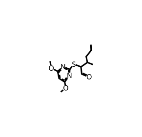 CCCC(C)C(C=O)Sc1nc(OC)cc(OC)n1